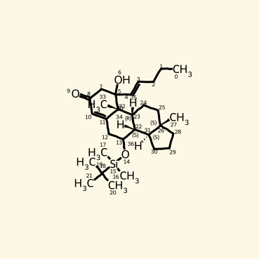 CCCC=CC1(O)CC(=O)C=C2CC(O[Si](C)(C)C(C)(C)C)[C@@H]3[C@@H](CC[C@]4(C)CCC[C@@H]34)[C@]21C